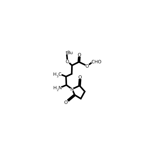 CC(CC(OC(C)(C)C)C(=O)OC=O)C(N)N1C(=O)CCC1=O